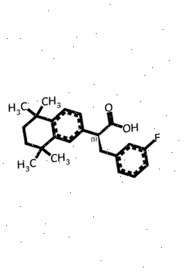 CC1(C)CCC(C)(C)c2cc([C@H](Cc3cccc(F)c3)C(=O)O)ccc21